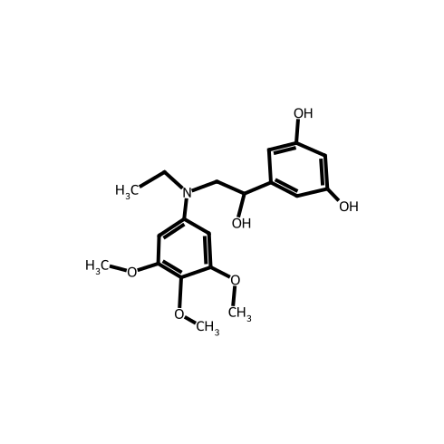 CCN(CC(O)c1cc(O)cc(O)c1)c1cc(OC)c(OC)c(OC)c1